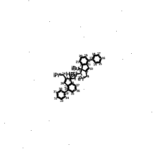 CCC(C)C1(C[SiH2]CC2(C(C)CC)C(CC(C)C)=Cc3c(-c4ccccc4)cccc32)C(CC(C)C)=Cc2c(-c3ccccc3)cccc21